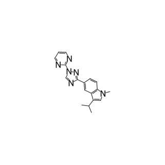 CC(C)c1cn(C)c2ccc(-c3ncn(-c4ncccn4)n3)cc12